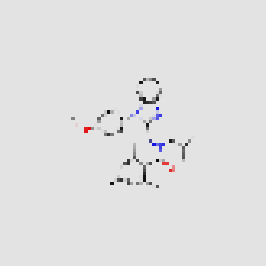 COc1ccc(-n2c(CN(CC(C)C)C(=O)c3c(C)cc(C)cc3C)nc3ccccc32)cc1